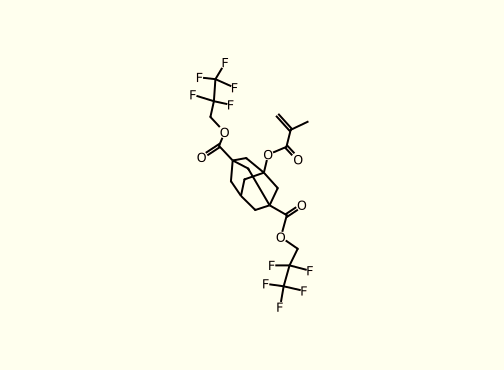 C=C(C)C(=O)OC12CC3CC(C(=O)OCC(F)(F)C(F)(F)F)(C1)CC(C(=O)OCC(F)(F)C(F)(F)F)(C3)C2